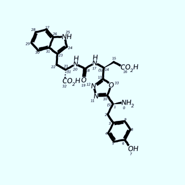 N[C@@H](Cc1ccc(O)cc1)c1nnc([C@H](CC(=O)O)NC(=O)N[C@@H](Cc2c[nH]c3ccccc23)C(=O)O)o1